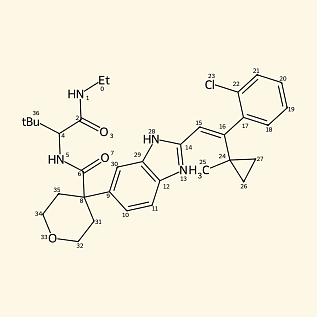 CCNC(=O)C(NC(=O)C1(c2ccc3nc(/C=C(/c4ccccc4Cl)C4(C)CC4)[nH]c3c2)CCOCC1)C(C)(C)C